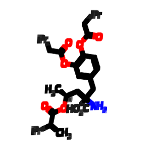 CC(C)CC(=O)Oc1ccc(CC(N)(C[C@H](C)OC(=O)C(C)C(C)C)C(=O)O)cc1OC(=O)CC(C)C